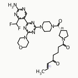 C/C=C/C(=O)CCCC(=O)N1CC[C@@H](C(=O)N2CCN(c3nc(-c4cnc(N)nc4C(F)F)nc(N4CCOCC4)n3)CC2)C1